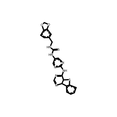 S=C(NCc1ccc2c(c1)OCO2)Nc1cnc(NC2=NC=NC3c4ccccc4SC23)nc1